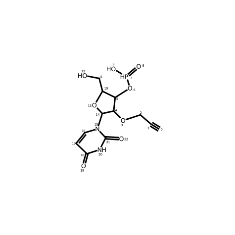 C#CCOC1C(O[PH](=O)O)C(CO)OC1n1ccc(=O)[nH]c1=O